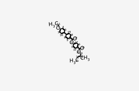 CCOc1ccc(-c2ccc(C(=O)Oc3ccc(C(=O)OCC(C)CC)cc3)cc2)cc1